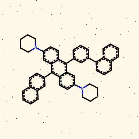 c1cc(-c2cccc3ccccc23)cc(-c2c3ccc(N4CCCCC4)cc3c(-c3ccc4ccccc4c3)c3ccc(N4CCCCC4)cc23)c1